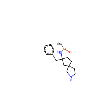 CC(C)(C)[S+]([O-])NC1(Cc2ccccc2)CCC2(CCNC2)C1